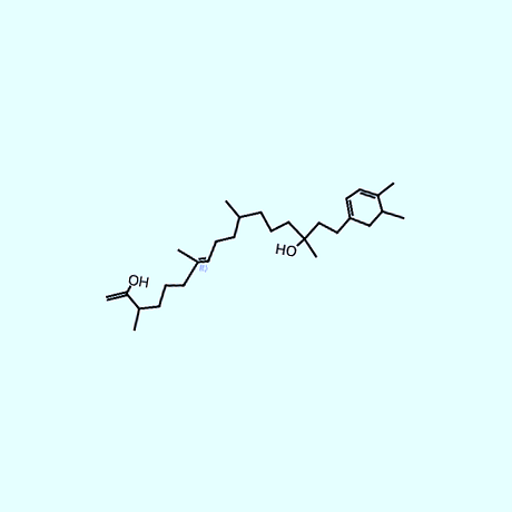 C=C(O)C(C)CCC/C(C)=C/CCC(C)CCCC(C)(O)CCC1=CC=C(C)C(C)C1